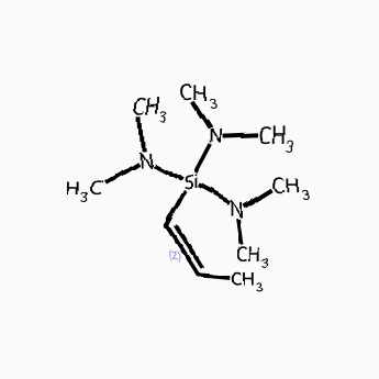 C/C=C\[Si](N(C)C)(N(C)C)N(C)C